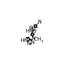 CN(c1ncnc2[nH]ccc12)[C@H]1C[C@@H](NS(=O)(=O)[C@H]2C[C@H](C#N)C2)C1